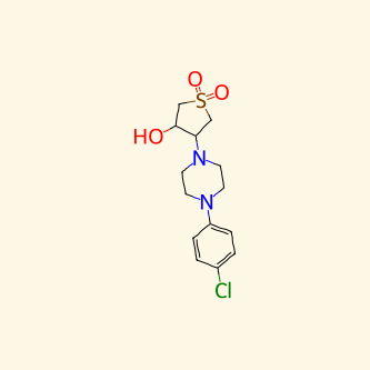 O=S1(=O)CC(O)C(N2CCN(c3ccc(Cl)cc3)CC2)C1